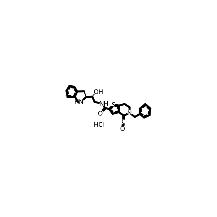 Cl.O=C=C1c2cc(C(=O)NC[C@@H](O)[C@@H]3Cc4ccccc4CN3)sc2CCN1Cc1ccccc1